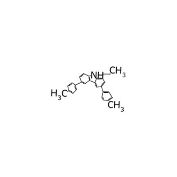 CCCc1cc(-c2ccc(C)cc2)cc2c1[nH]c1ccc(-c3ccc(C)cc3)cc12